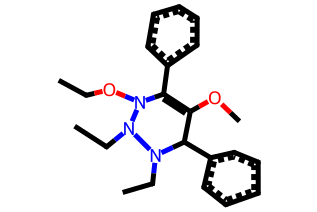 CCON1C(c2ccccc2)=C(OC)C(c2ccccc2)N(CC)N1CC